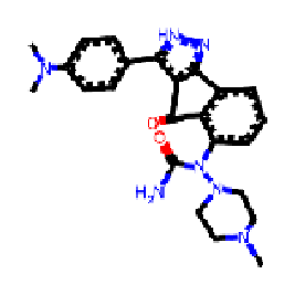 CN1CCN(N(C(N)=O)c2cccc3c2C(=O)c2c-3n[nH]c2-c2ccc(N(C)C)cc2)CC1